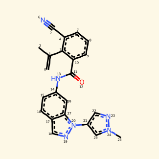 C=C(C)c1c(C#N)cccc1C(=O)Nc1ccc2cnn(-c3cnn(C)c3)c2c1